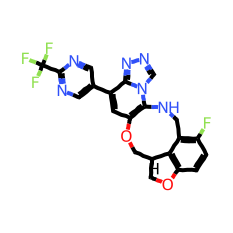 Fc1ccc2c3c1CNc1c(cc(-c4cnc(C(F)(F)F)nc4)c4nncn14)OC[C@@H]3CO2